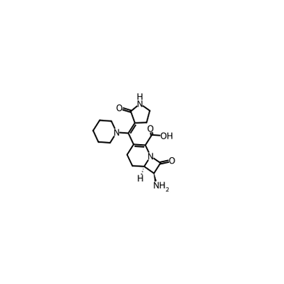 N[C@@H]1C(=O)N2C(C(=O)O)=C(C(=C3CCNC3=O)N3CCCCC3)CC[C@H]12